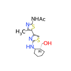 CC(=O)Nc1nc(C)c(-c2csc(NC3CCCC[C@H]3CO)n2)s1